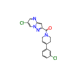 O=C(c1cc2ncc(Cl)cn2n1)N1CC=C(c2cccc(Cl)c2)CC1